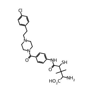 CC(C)(C(N)C(=O)O)C(S)C(=O)Nc1ccc(C(=O)N2CCN(CCc3ccc(Cl)cc3)CC2)cc1